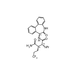 CCC[C@H](C(=O)N[C@@H]1C(=O)Nc2ccccc2-c2ccccc21)[C@@H](CCC(F)(F)F)C(N)=O